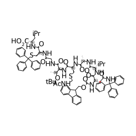 CC(=O)NCSC[C@H](NC(=O)[C@H](C)NC(=O)[C@@H](NC(=O)[C@H](CC(=O)NC(c1ccccc1)(c1ccccc1)c1ccccc1)NC(=O)OCC1c2ccccc2-c2ccccc21)C(C)C)C(=O)N[C@H](C(=O)NCC(=O)N[C@@H](CSC(c1ccccc1)(c1ccccc1)c1ccccc1)C(=O)N[C@@H](CC(C)C)C(=O)O)[C@@H](C)OC(C)(C)C